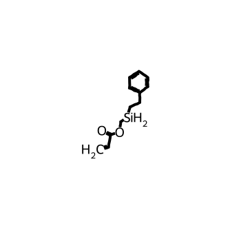 C=CC(=O)OC[SiH2]CCc1ccccc1